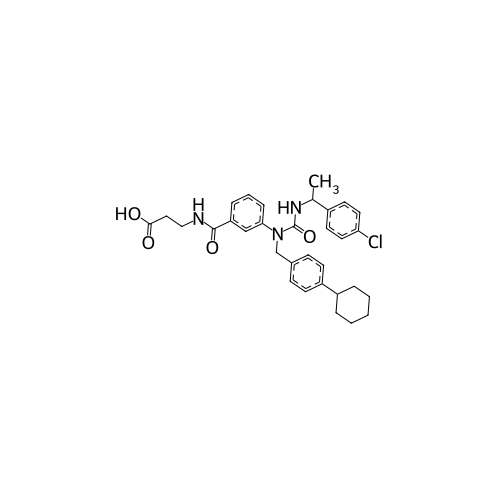 CC(NC(=O)N(Cc1ccc(C2CCCCC2)cc1)c1cccc(C(=O)NCCC(=O)O)c1)c1ccc(Cl)cc1